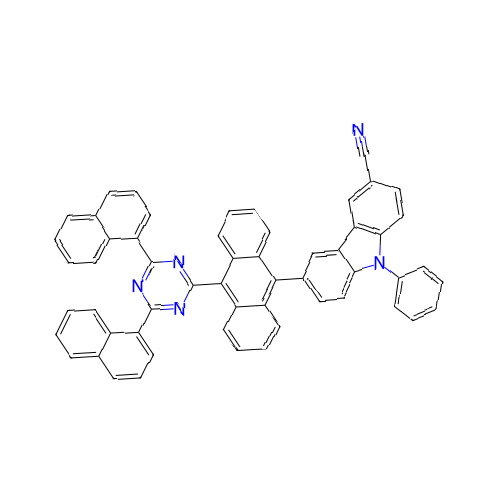 N#Cc1ccc2c(c1)c1cc(-c3c4ccccc4c(-c4nc(-c5cccc6ccccc56)nc(-c5cccc6ccccc56)n4)c4ccccc34)ccc1n2-c1ccccc1